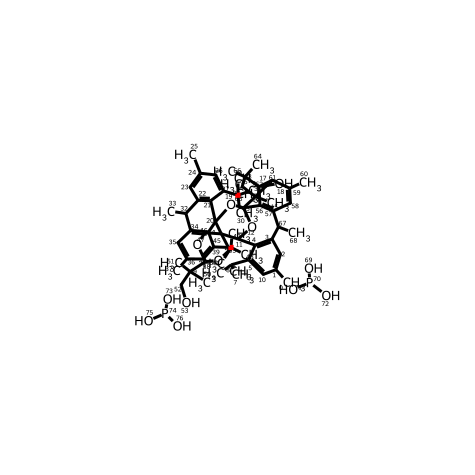 Cc1cc2c(c(C(C)(C)C)c1)C1OC(C(C)(C)CO)(OC3(c4c(cc(C)cc4C(C)(C)C)C(C)c4cc(C)cc(C(C)(C)C)c43)C13COC(C(C)(C)CO)OC3)c1c(cc(C)cc1C(C)(C)C)C2C.OP(O)O.OP(O)O